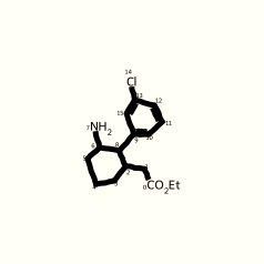 CCOC(=O)CC1CCCC(N)C1c1cccc(Cl)c1